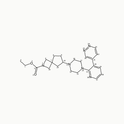 CCOC(=O)N1CC2(CCC(N3CCN(c4ncccc4-c4ccnnc4)CC3)C2)C1